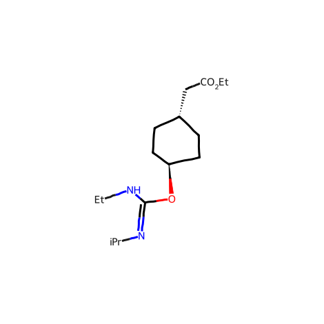 CCN/C(=N\C(C)C)O[C@H]1CC[C@H](CC(=O)OCC)CC1